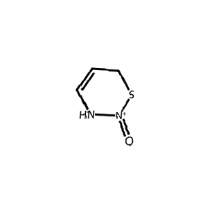 O=[N+]1NC=CCS1